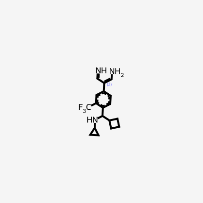 N=C/C(=C\N)c1ccc(C(NC2CC2)C2CCC2)c(C(F)(F)F)c1